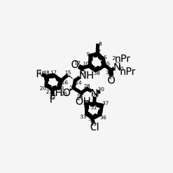 CCCN(CCC)C(=O)c1cc(C)cc(C(=O)N[C@@H](Cc2cc(F)cc(F)c2)[C@@H](O)[C@H](O)CN(C)c2ccc(Cl)cc2)c1